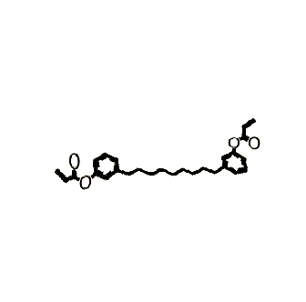 C=CC(=O)Oc1cccc(CCCCCCCCCc2cccc(OC(=O)C=C)c2)c1